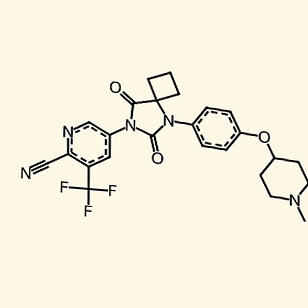 CN1CCC(Oc2ccc(N3C(=O)N(c4cnc(C#N)c(C(F)(F)F)c4)C(=O)C34CCC4)cc2)CC1